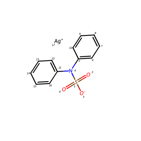 O=S(=O)([O-])N(c1ccccc1)c1ccccc1.[Ag+]